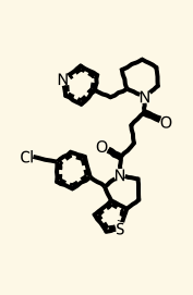 O=C(CCC(=O)N1CCc2sccc2C1c1ccc(Cl)cc1)N1CCCCC1Cc1ccncc1